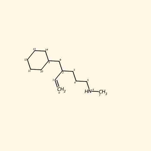 C=CC(CCCNC)CC1CCCCC1